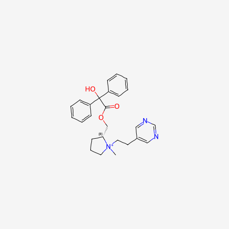 C[N+]1(CCc2cncnc2)CCC[C@@H]1COC(=O)C(O)(c1ccccc1)c1ccccc1